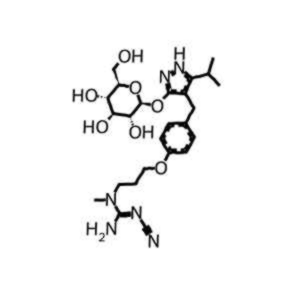 CC(C)c1[nH]nc(O[C@@H]2O[C@H](CO)[C@@H](O)[C@H](O)[C@H]2O)c1Cc1ccc(OCCCN(C)C(N)=NC#N)cc1